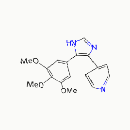 COc1cc(-c2[nH]cnc2-c2ccncc2)cc(OC)c1OC